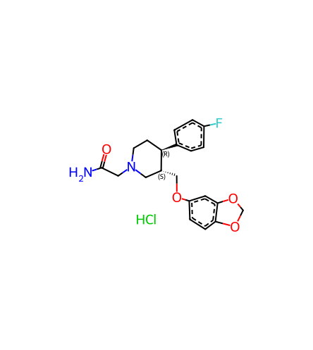 Cl.NC(=O)CN1CC[C@@H](c2ccc(F)cc2)[C@H](COc2ccc3c(c2)OCO3)C1